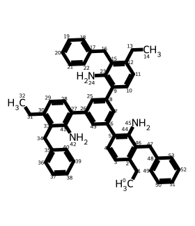 CCc1ccc(-c2cc(-c3ccc(CC)c(Cc4ccccc4)c3N)cc(-c3ccc(CC)c(Cc4ccccc4)c3N)c2)c(N)c1Cc1ccccc1